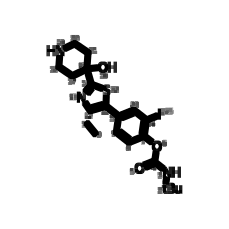 CC.CC(C)(C)NC(=O)Oc1ccc(-c2cnc(C3(O)CCNCC3)s2)cc1F